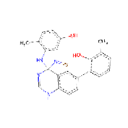 Cc1ccc(O)cc1N[C@@]1(N=S)N=CNc2ccc(-c3cccc(C)c3O)cc21